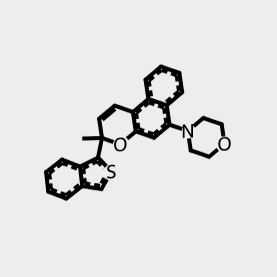 CC1(c2scc3ccccc23)C=Cc2c(cc(N3CCOCC3)c3ccccc23)O1